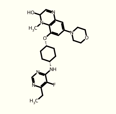 CCc1ncnc(N[C@H]2CC[C@@H](Oc3cc(N4CCOCC4)cc4c3N(C)C(O)C=N4)CC2)c1F